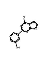 Oc1cccc(-c2nc(Cl)c3cc[nH]c3n2)c1